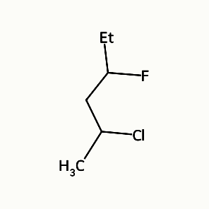 [CH2]CC(F)CC(C)Cl